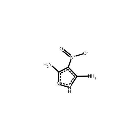 Nc1n[nH]c(N)c1[N+](=O)[O-]